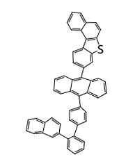 c1ccc(-c2ccc3ccccc3c2)c(-c2ccc(-c3c4ccccc4c(-c4ccc5c(c4)sc4ccc6ccccc6c45)c4ccccc34)cc2)c1